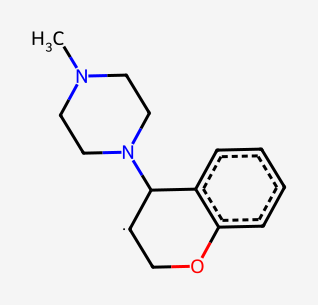 CN1CCN(C2[CH]COc3ccccc32)CC1